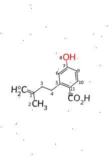 C=C(C)CCc1cc(O)ccc1C(=O)O